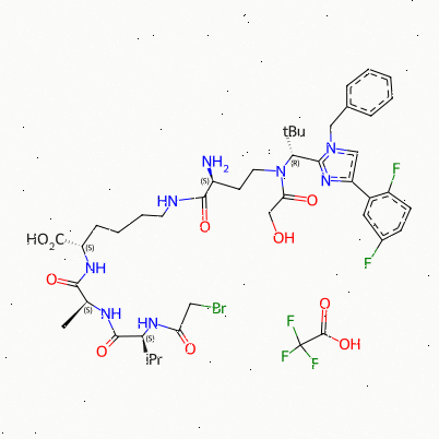 CC(C)[C@H](NC(=O)CBr)C(=O)N[C@@H](C)C(=O)N[C@@H](CCCCNC(=O)[C@@H](N)CCN(C(=O)CO)[C@@H](c1nc(-c2cc(F)ccc2F)cn1Cc1ccccc1)C(C)(C)C)C(=O)O.O=C(O)C(F)(F)F